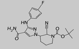 CC(C)(C)OC(=O)N1CCCC(n2cc(C(N)=O)c(Nc3ccc(F)cc3)n2)C1C#N